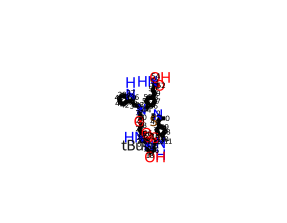 Cc1ncsc1-c1ccc([C@H](C)NC(=O)C2C[C@@H](O)CN2C(=O)[C@@H](NC(=O)CCOCCN(CCc2c[nH]c3ccccc23)Cc2ccc(/C=C/C(=O)NO)cc2)C(C)(C)C)cc1